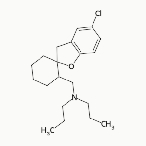 CCCN(CCC)CC1CCCCC12Cc1cc(Cl)ccc1O2